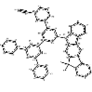 CC1(C)c2ccccc2-c2cc3c4ccccc4n(-c4cc(-c5cccc(C#N)c5)cc(-c5nc(-c6ccccc6)cc(-c6ccccc6)n5)c4)c3cc21